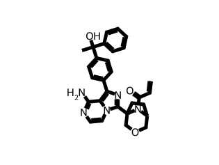 C=CC(=O)N1C2CCC1(c1nc(-c3ccc(C(C)(O)c4ccccc4)cc3)c3c(N)nccn13)COC2